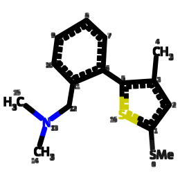 CSc1cc(C)c(-c2ccccc2CN(C)C)s1